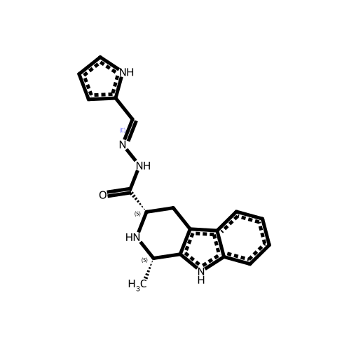 C[C@@H]1N[C@H](C(=O)N/N=C/c2ccc[nH]2)Cc2c1[nH]c1ccccc21